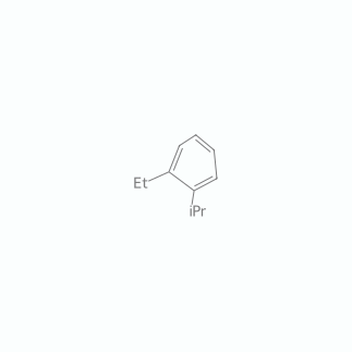 CCc1ccccc1C(C)C